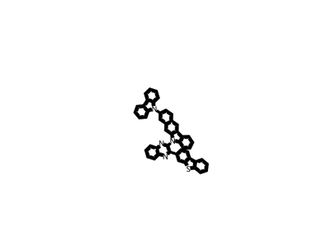 c1ccc2nc(-n3c4ccccc4c4cc5ccc(-n6c7ccccc7c7ccccc76)cc5cc43)c(-c3ccc4c(c3)sc3ccccc34)nc2c1